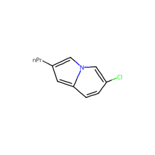 CCCc1cc2ccc(Cl)cn2c1